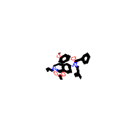 C=CCN1CC[C@@]2(c3cccc(OC)c3)C[C@H](N(CC(C)C)C(=O)c3ccccc3)CC[C@]2(OC(C)=O)C1